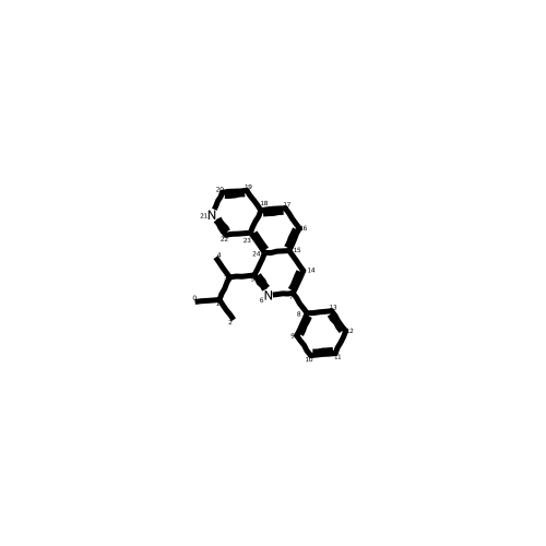 CC(C)C(C)c1nc(-c2ccccc2)cc2ccc3ccncc3c12